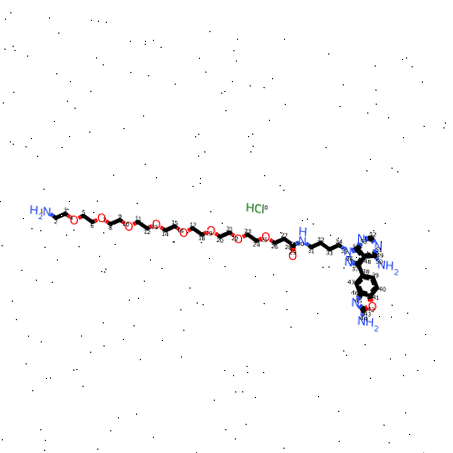 Cl.NCCOCCOCCOCCOCCOCCOCCOCCOCCC(=O)NCCCCn1nc(-c2ccc3oc(N)nc3c2)c2c(N)ncnc21